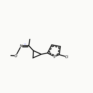 CO/N=C(/C)C1CC1c1ccc(Cl)s1